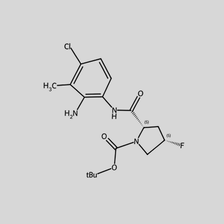 Cc1c(Cl)ccc(NC(=O)[C@@H]2C[C@H](F)CN2C(=O)OC(C)(C)C)c1N